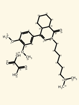 COc1ccc(C2=NN(CCCCCCN(C)C)C(=O)C3CCCCC23)cc1OC.O=C(O)C(=O)O